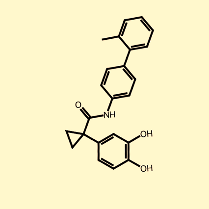 Cc1ccccc1-c1ccc(NC(=O)C2(c3ccc(O)c(O)c3)CC2)cc1